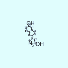 Oc1cncc(-c2ccc3cc(O)ccc3c2)c1